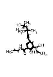 CCCNC(=O)c1cc(C#CC(C)(C)CC(C)(C)O)cc(N(O)CC)c1O